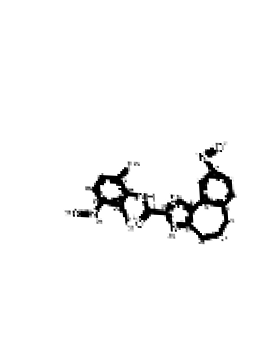 O=Nc1ccc2c(c1)-c1sc(C(=O)Nc3c(F)ccc(N=O)c3F)nc1CCC2